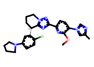 COc1nc(-c2nc3n(n2)CCC[C@H]3c2cc(N3CCCC3)ccc2Cl)ccc1-n1cnc(C)c1